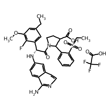 CCc1cc(OC)c(F)c([C@@H](Nc2ccc3c(N)nccc3c2)C(=O)N2CCC(C(=O)O)C2c2ccccc2S(=O)(=O)CC)c1.O=C(O)C(F)(F)F